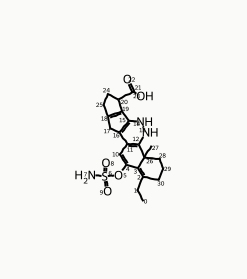 CCC1=C2C(OS(N)(=O)=O)=CC3=C(NNC4=C3CC3=C4C(C(=O)O)CC3)C2(C)CCC1